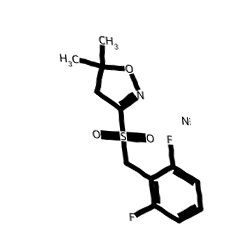 CC1(C)CC(S(=O)(=O)Cc2c(F)cccc2F)=NO1.[N]